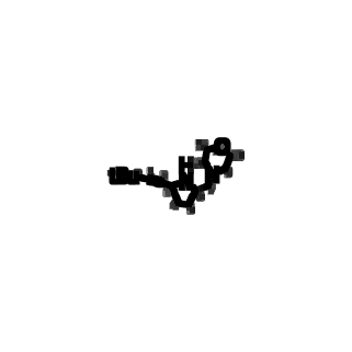 CC(C)(C)C#CC1CC[C@H](CN2CCOCC2)N1